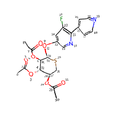 CC(=O)O[C@@H]1[C@@H](OC(C)=O)[C@@H](Oc2cnc(-c3ccncc3)c(F)c2)SC[C@H]1OC(C)=O